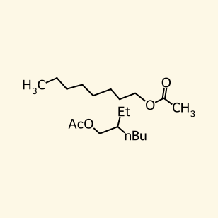 CCCCC(CC)COC(C)=O.CCCCCCCCOC(C)=O